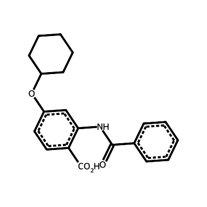 O=C(Nc1cc(OC2CCCCC2)ccc1C(=O)O)c1ccccc1